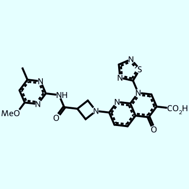 COc1cc(C)nc(NC(=O)C2CN(c3ccc4c(=O)c(C(=O)O)cn(-c5ncns5)c4n3)C2)n1